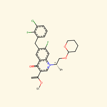 C=C(OCC)c1cn([C@H](COC2CCCCO2)C(C)C)c2cc(F)c(Cc3cccc(Cl)c3F)cc2c1=O